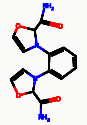 NC(=O)C1OC=CN1c1ccccc1N1C=COC1C(N)=O